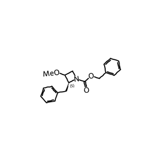 COC1CN(C(=O)OCc2ccccc2)[C@H]1Cc1ccccc1